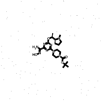 C[C@H](Oc1nc(/C(N)=N/O)nc(N2CCN(C(=O)OC(C)(C)C)CC2)n1)[C@@H]1CCCN1C